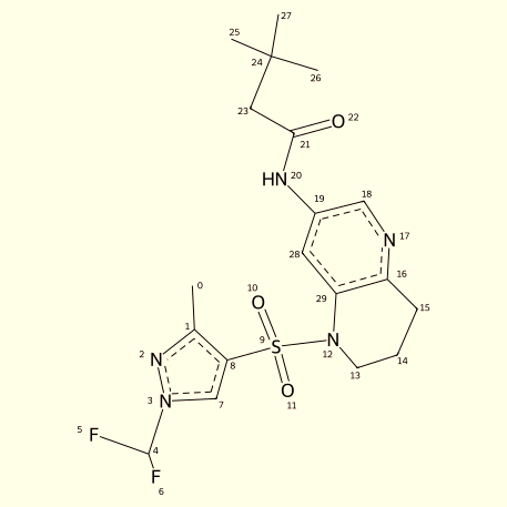 Cc1nn(C(F)F)cc1S(=O)(=O)N1CCCc2ncc(NC(=O)CC(C)(C)C)cc21